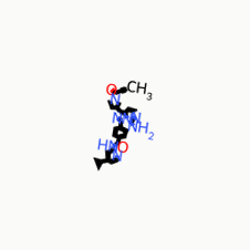 CC#CC(=O)N1CCC(c2nc(-c3ccc(C(=O)Nc4cc(C5CC5)ccn4)cc3)n3c(N)nccc23)C1